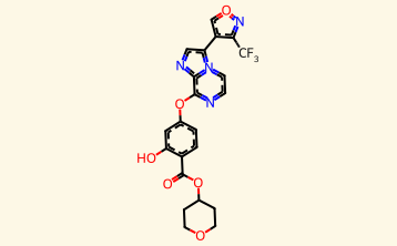 O=C(OC1CCOCC1)c1ccc(Oc2nccn3c(-c4conc4C(F)(F)F)cnc23)cc1O